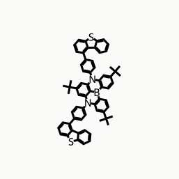 CC(C)(C)c1ccc2c(c1)N(c1ccc(-c3cccc4sc5ccccc5c34)cc1)c1cc(C(C)(C)C)cc3c1B2c1ccc(C(C)(C)C)cc1N3c1ccc(-c2cccc3sc4ccccc4c23)cc1